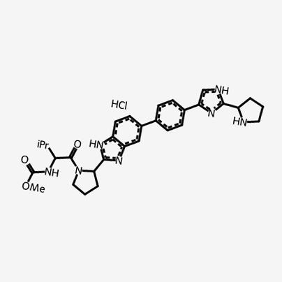 COC(=O)NC(C(=O)N1CCCC1c1nc2cc(-c3ccc(-c4c[nH]c(C5CCCN5)n4)cc3)ccc2[nH]1)C(C)C.Cl